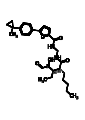 CCCCC[C@@H](C(=O)NCNC(=O)c1ccc(-c2ccc(C3(C)CC3)cc2)o1)[C@@H](CC)N(O)C=O